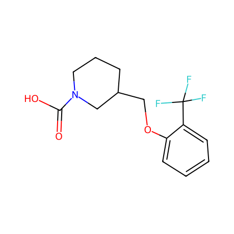 O=C(O)N1CCCC(COc2ccccc2C(F)(F)F)C1